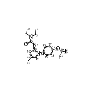 CCN(CC)C(=O)/N=c1\sc(C)cn1-c1ccc(OC(F)F)cc1